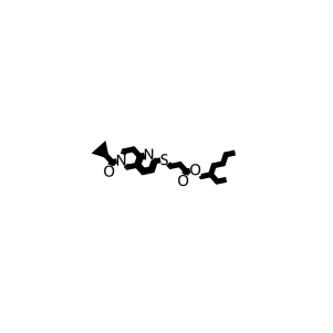 CCCCC(CC)COC(=O)CCSc1ccc2c(n1)CCN(C(=O)C1CC1)C2